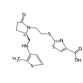 Cc1sccc1NC[C@H]1CCC(=O)N1CCSc1nc(C(=O)O)cs1